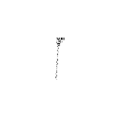 CCCCCCCCCCCCCCCCCCOOS(=O)(=O)O